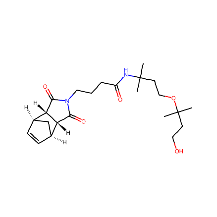 CC(C)(CCOC(C)(C)CCO)NC(=O)CCCN1C(=O)[C@@H]2[C@H](C1=O)[C@H]1C=C[C@@H]2C1